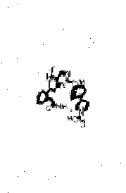 NC(=O)Cc1ccccc1CCc1nc(Nc2ccc(C3CCN(C(=O)O)C3)cc2)ncc1C(F)(F)F